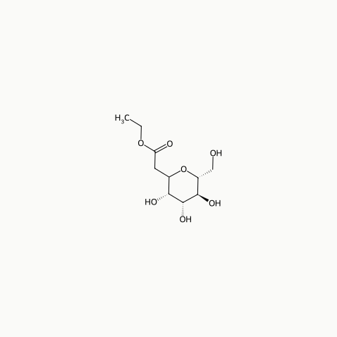 CCOC(=O)CC1O[C@H](CO)[C@@H](O)[C@H](O)[C@@H]1O